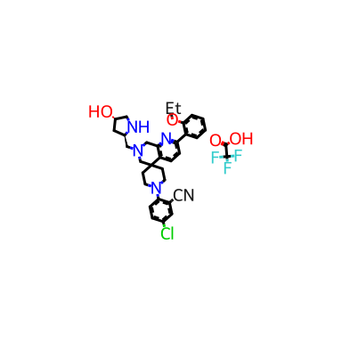 CCOc1ccccc1-c1ccc2c(n1)CN(C[C@H]1C[C@H](O)CN1)CC21CCN(c2ccc(Cl)cc2C#N)CC1.O=C(O)C(F)(F)F